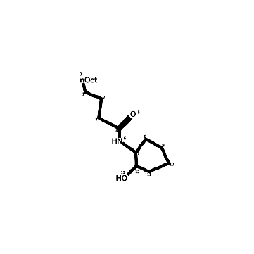 CCCCCCCCCCCC(=O)NC1CCCCC1O